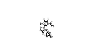 CCC(C)N(C[C@H](O)[C@@H]1CCC(=O)N1Cc1cc(Br)no1)C(C)CC